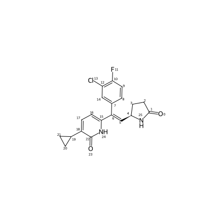 O=C1CC[C@H](/C=C(\c2ccc(F)c(Cl)c2)c2ccc(C3CC3)c(=O)[nH]2)N1